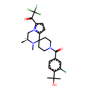 C[C@H]1Cn2c(C(=O)C(F)(F)F)ccc2C2(CCN(C(=O)c3ccc(C(C)(C)O)c(F)c3)CC2)N1C